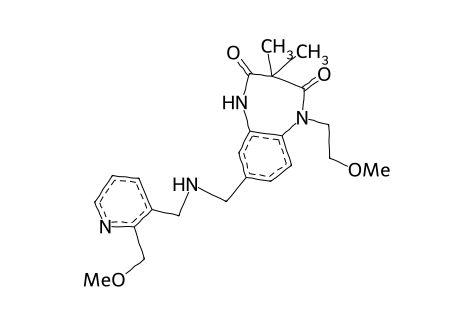 COCCN1C(=O)C(C)(C)C(=O)Nc2cc(CNCc3cccnc3COC)ccc21